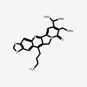 COCc1c(C(C=O)OC)cc2n(c1=O)Cc1c-2nc2cc3c(cc2c1CCCN)OCO3